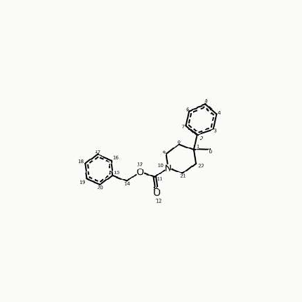 CC1(c2ccccc2)CCN(C(=O)OCc2ccccc2)CC1